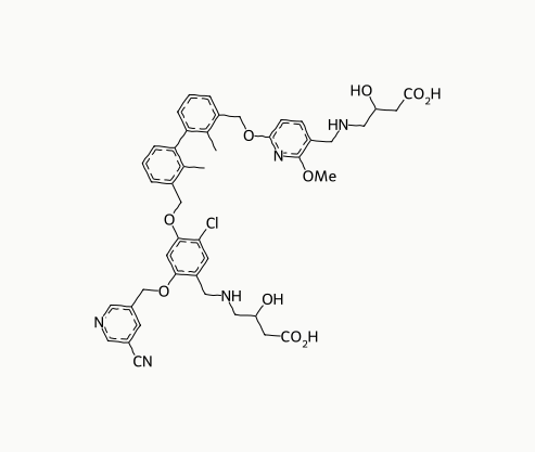 COc1nc(OCc2cccc(-c3cccc(COc4cc(OCc5cncc(C#N)c5)c(CNCC(O)CC(=O)O)cc4Cl)c3C)c2C)ccc1CNCC(O)CC(=O)O